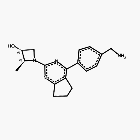 C[C@H]1[C@H](O)CN1c1nc2c(c(-c3ccc(CN)cc3)n1)CCC2